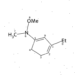 CCC1=CCCC(N(C)OC)=C1